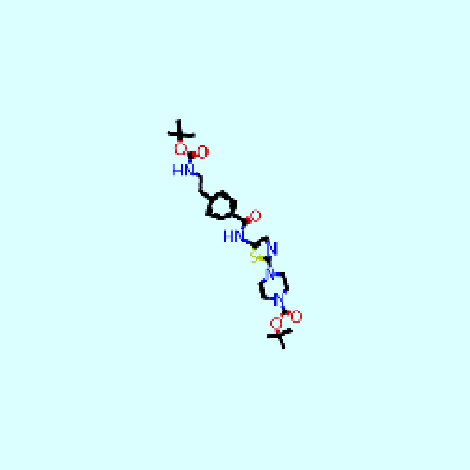 CC(C)(C)OC(=O)NCCc1ccc(C(=O)Nc2cnc(N3CCN(C(=O)OC(C)(C)C)CC3)s2)cc1